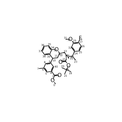 COC(=O)c1cc(C)cc(C2C[C@H](CN(C(=O)OC(C)(C)C)[C@H](C)c3ccc(F)c(OC)c3)Oc3ccccc32)c1